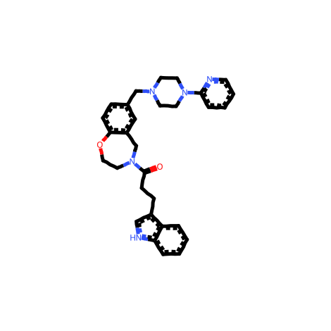 O=C(CCc1c[nH]c2ccccc12)N1CCOc2ccc(CN3CCN(c4ccccn4)CC3)cc2C1